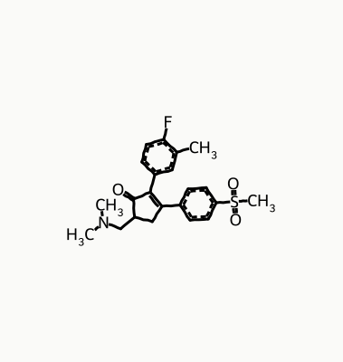 Cc1cc(C2=C(c3ccc(S(C)(=O)=O)cc3)CC(CN(C)C)C2=O)ccc1F